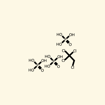 ClCC(Cl)(Cl)Cl.O=P(O)(O)O.O=P(O)(O)O.O=P(O)(O)O